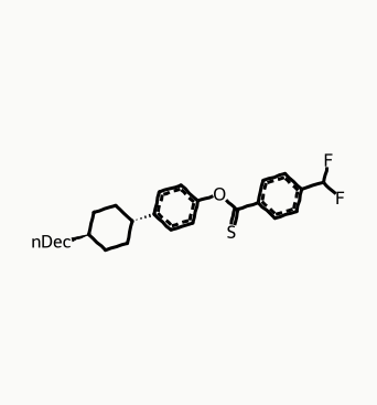 CCCCCCCCCC[C@H]1CC[C@H](c2ccc(OC(=S)c3ccc(C(F)F)cc3)cc2)CC1